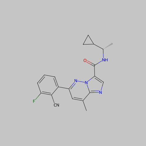 Cc1cc(-c2cccc(F)c2C#N)nn2c(C(=O)N[C@@H](C)C3CC3)cnc12